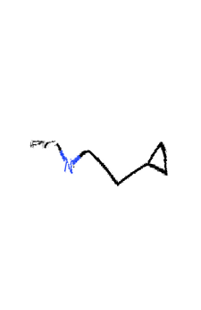 CC(C)[N]CCC1CC1